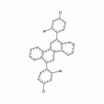 Clc1ccc(-c2cc3c4ccccc4c(-c4ccc(Cl)cc4Br)cc3c3ccccc23)c(Br)c1